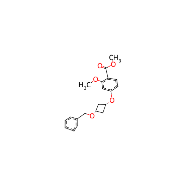 COC(=O)c1ccc(O[C@H]2C[C@@H](OCc3ccccc3)C2)cc1OC